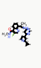 CNC(=O)c1c(F)cnc2c([C@H](C)CNc3cc(-c4ccnc(C5CC5)c4)ncn3)cccc12